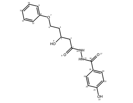 O=C(CC(O)CCOc1ccccc1)NNC(=O)c1ccc(O)cc1